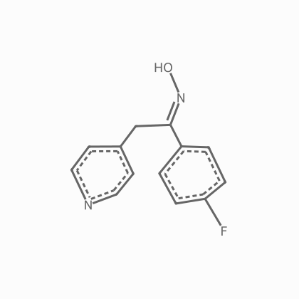 O/N=C(\Cc1ccncc1)c1ccc(F)cc1